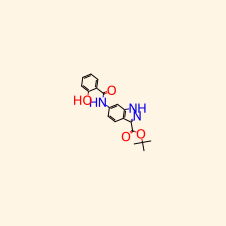 CC(C)(C)OC(=O)c1n[nH]c2cc(NC(=O)c3ccccc3O)ccc12